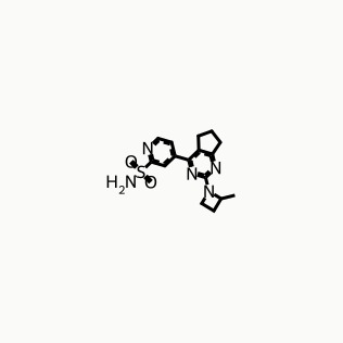 CC1CCN1c1nc2c(c(-c3ccnc(S(N)(=O)=O)c3)n1)CCC2